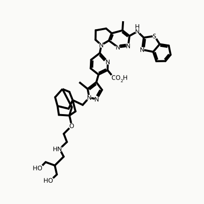 Cc1c(Nc2nc3ccccc3s2)nnc2c1CCCN2c1ccc(-c2cnn(CC34CC5CC(C3)CC(OCCNCC(CO)CO)(C5)C4)c2C)c(C(=O)O)n1